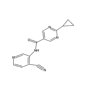 N#Cc1ccncc1NC(=O)c1cnc(C2CC2)nc1